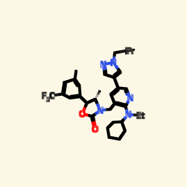 CCN(c1ncc(-c2cnn(CC(C)C)c2)cc1CN1C(=O)OC(c2cc(C)cc(C(F)(F)F)c2)[C@@H]1C)C1CCCCC1